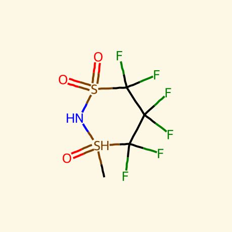 C[SH]1(=O)NS(=O)(=O)C(F)(F)C(F)(F)C1(F)F